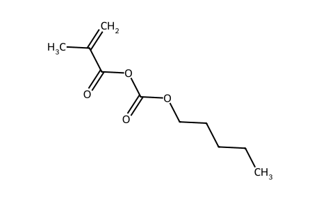 C=C(C)C(=O)OC(=O)OCCCCC